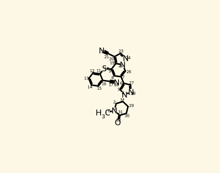 CN1C[C@H](n2cc(-c3cc(Sc4ccccc4C#N)c4c(C#N)cnn4c3)cn2)CCC1=O